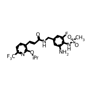 CC(C)Oc1nc(C(F)(F)F)ccc1/C=C/C(=O)NCc1cc(N)c(NS(C)(=O)=O)c(F)c1